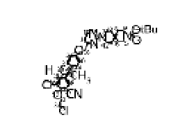 CC(C)(C)OC(=O)N1CCC2(CC1)CCN(c1nccc(COc3ccc(C(C)(C)c4cc(Cl)c(OCCCl)c(C#N)c4)cc3)n1)CC2